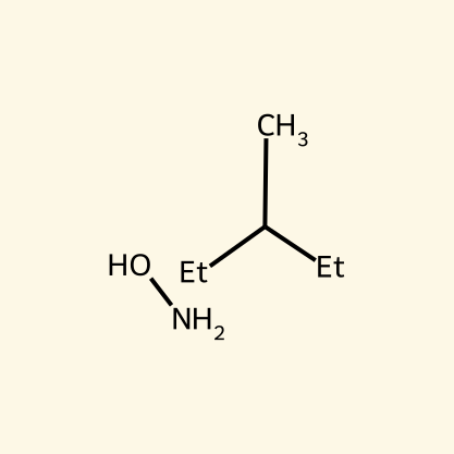 CCC(C)CC.NO